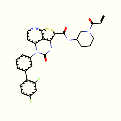 C=CC(=O)N1CCCC(NC(=O)c2sc3nccc4c3c2NC(=O)N4c2cccc(-c3ccc(F)cc3F)c2)C1